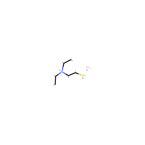 B.CCN(CC)CCS